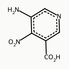 Nc1cncc(C(=O)O)c1[N+](=O)[O-]